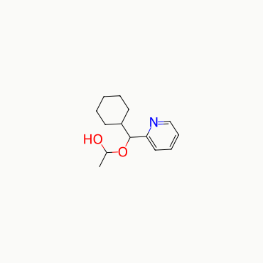 CC(O)OC(c1ccccn1)C1CCCCC1